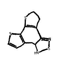 c1cc2c(s1)C1=C(CCS1)C1=NSNC12